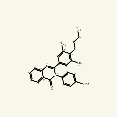 CC(=O)Nc1ccc(-n2c(-c3cc(C)c(OCCO)c(C)c3)nc3ccccc3c2=O)cc1